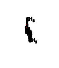 CCCCCCCCCOc1ccc2c(ccc3nc(OCCCCCC)ccc32)n1